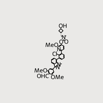 COc1cc(-c2nn(C)c3c(-c4cccc(-c5ccc(OC(=O)N(C)C[C@H]6C[C@@H](O)C6)c(OC)n5)c4Cl)cccc23)cc(OC)c1C=O